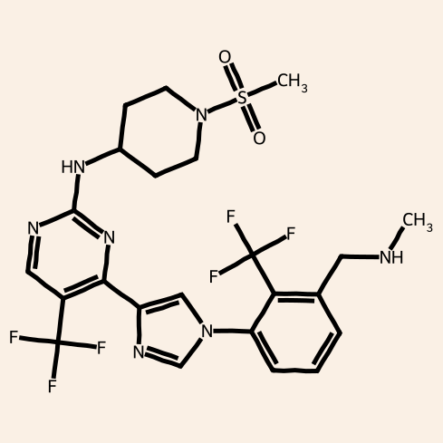 CNCc1cccc(-n2cnc(-c3nc(NC4CCN(S(C)(=O)=O)CC4)ncc3C(F)(F)F)c2)c1C(F)(F)F